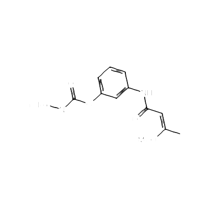 CCCCCCNC(=O)Oc1cccc(NC(=O)/C=C(/C)OC)c1